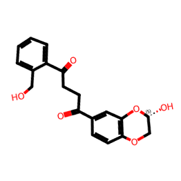 O=C(CCC(=O)c1ccccc1CO)c1ccc2c(c1)O[C@H](O)CO2